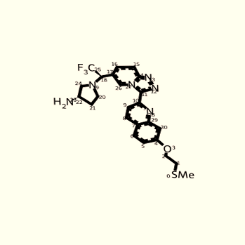 CSCCOc1ccc2ccc(-c3nnc4ccc([C@@H](N5CC[C@H](N)C5)C(F)(F)F)cn34)nc2c1